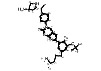 CC(c1ccc(-n2cc3cc(-c4cc(CCC[C@H](C)N)cc(OC(F)(F)F)c4F)[nH]c3nc2=O)cc1)[C@@H]1C[C@@H](N)CN1